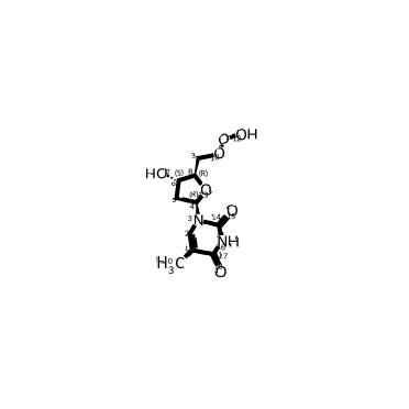 Cc1cn([C@H]2C[C@H](O)[C@@H](COOO)O2)c(=O)[nH]c1=O